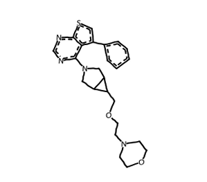 c1ccc(-c2csc3ncnc(N4CC5C(COCCN6CCOCC6)C5C4)c23)cc1